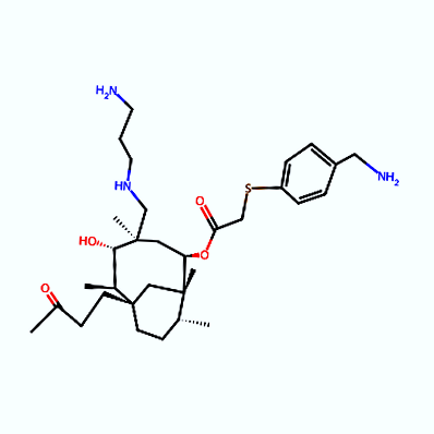 CC(=O)CC[C@]12CC[C@@H](C)[C@](C)(C1)[C@H](OC(=O)CSc1ccc(CN)cc1)C[C@](C)(CNCCCN)[C@@H](O)[C@@H]2C